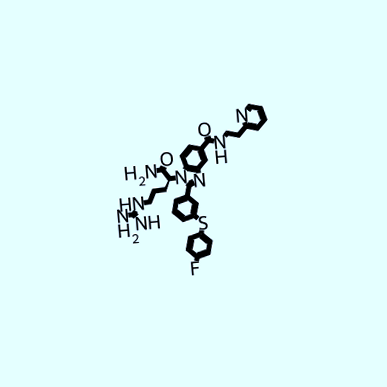 N=C(N)NCCC[C@@H](C(N)=O)n1c(-c2cccc(Sc3ccc(F)cc3)c2)nc2cc(C(=O)NCCc3ccccn3)ccc21